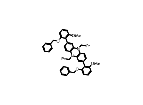 COc1cccc(OCc2ccccc2)c1-c1ccc2c(c1)N(CC(C)C)c1ccc(-c3c(OC)cccc3OCc3ccccc3)cc1N2CC(C)C